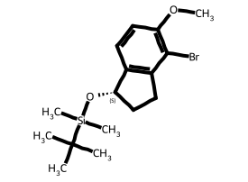 COc1ccc2c(c1Br)CC[C@@H]2O[Si](C)(C)C(C)(C)C